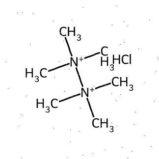 C[N+](C)(C)[N+](C)(C)C.Cl